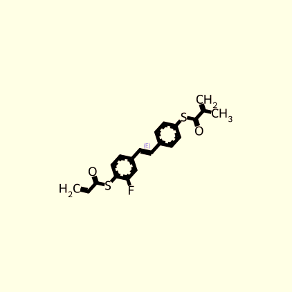 C=CC(=O)Sc1ccc(/C=C/c2ccc(SC(=O)C(=C)C)cc2)cc1F